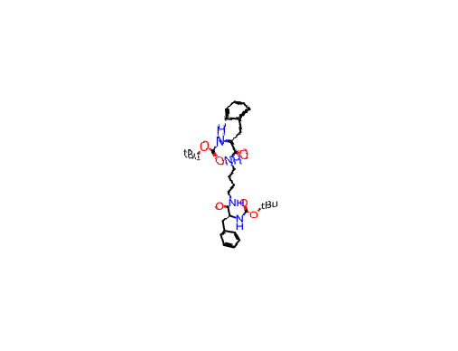 CC(C)(C)OC(=O)N[C@@H](Cc1ccccc1)C(=O)NCCCCNC(=O)[C@H](Cc1ccccc1)NC(=O)OC(C)(C)C